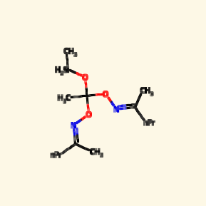 CCCC(C)=NOC(C)(ON=C(C)CCC)O[SiH2]C